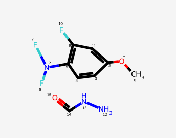 COc1ccc(N(F)F)c(F)c1.NNC=O